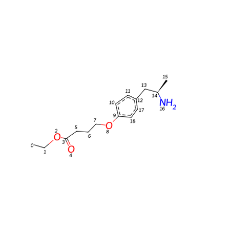 CCOC(=O)CCCOc1ccc(C[C@@H](C)N)cc1